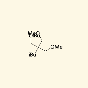 CCC(C)C(COC)(COC)COCC(C)C